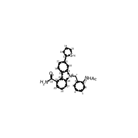 CC(=O)Nc1ccccc1Cn1c2cc(-c3cccs3)c[c]c2c2c(C(N)=O)cccc21